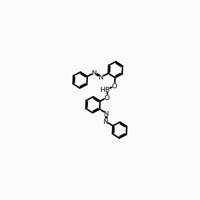 B(Oc1ccccc1N=Nc1ccccc1)Oc1ccccc1N=Nc1ccccc1